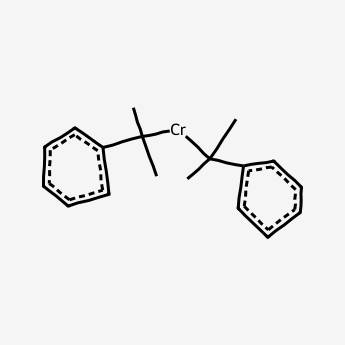 C[C](C)([Cr][C](C)(C)c1ccccc1)c1ccccc1